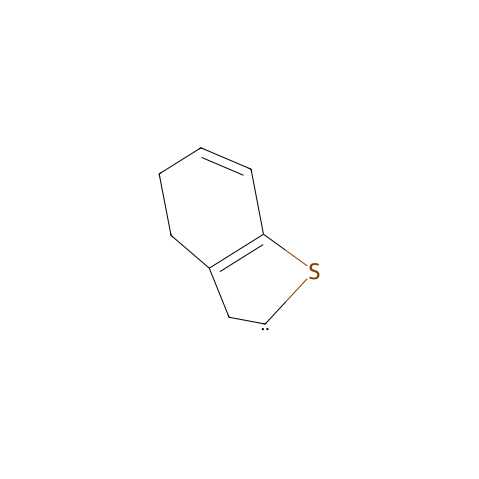 [C]1CC2=C(C=CCC2)S1